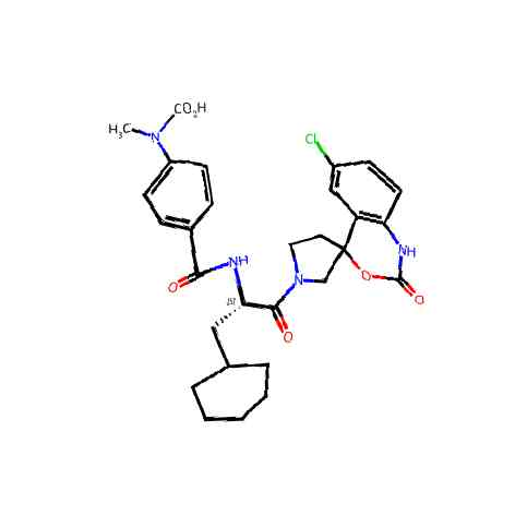 CN(C(=O)O)c1ccc(C(=O)N[C@@H](CC2CCCCC2)C(=O)N2CCC3(C2)OC(=O)Nc2ccc(Cl)cc23)cc1